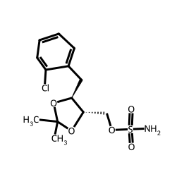 CC1(C)O[C@@H](COS(N)(=O)=O)[C@H](Cc2ccccc2Cl)O1